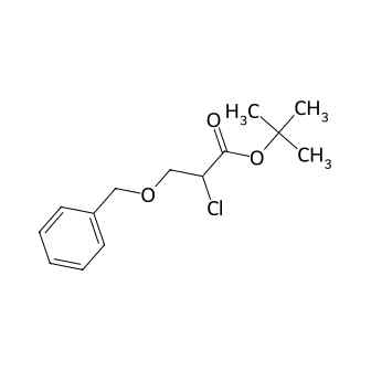 CC(C)(C)OC(=O)C(Cl)COCc1ccccc1